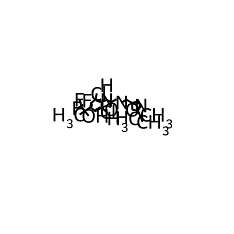 CC(C)(C)c1ncc(CNCC(=O)Nc2c(Cl)cc(C(C)(O)C(F)(F)F)cc2Cl)o1